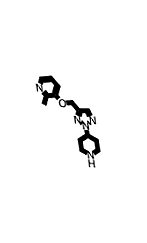 Cc1ncccc1OCc1cnn(C2CCNCC2)n1